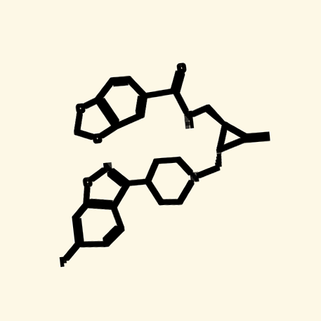 C=C1[C@H](CNC(=O)c2ccc3c(c2)OCO3)[C@H]1CN1CCC(c2noc3cc(F)ccc23)CC1